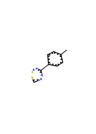 Cc1ccc(-c2ncsn2)cc1